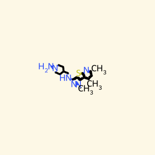 Cc1cc(C)c2c(n1)sc1c(NCC3CCN(N)CC3)nn(C)c12